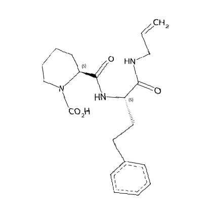 C=CCNC(=O)[C@H](CCc1ccccc1)NC(=O)[C@@H]1CCCCN1C(=O)O